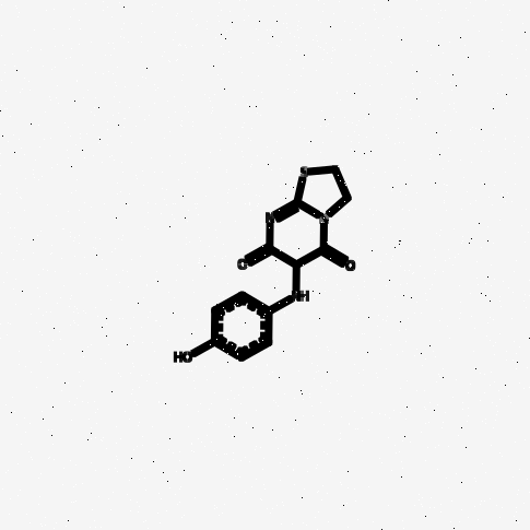 O=C1N=C2SCCN2C(=O)C1Nc1ccc(O)cc1